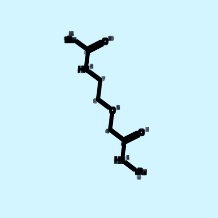 CC(C)(C)NC(=O)COCCNC(=O)C(C)(C)C